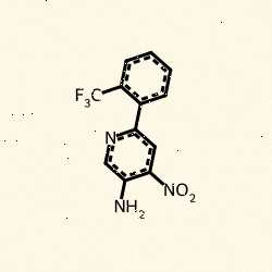 Nc1cnc(-c2ccccc2C(F)(F)F)cc1[N+](=O)[O-]